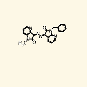 CN1C(=O)/C(=N\N=C2/C(=O)N(Cc3ccccc3)c3ncccc32)c2ncccc21